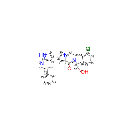 O=C1c2cc(-c3c[nH]c4ncc(-c5ccccc5)cc34)cn2CCN1[C@H](CO)c1cccc(Cl)c1